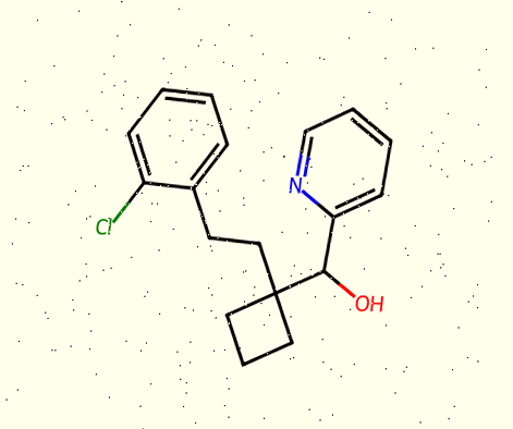 OC(c1ccccn1)C1(CCc2ccccc2Cl)CCC1